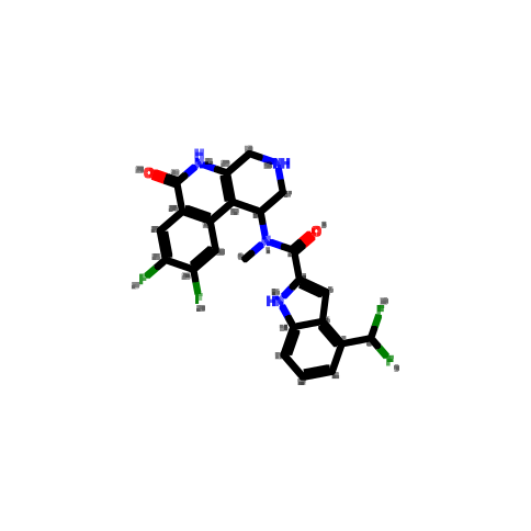 CN(C(=O)c1cc2c(C(F)F)cccc2[nH]1)C1CNCc2[nH]c(=O)c3cc(F)c(F)cc3c21